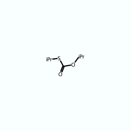 CC(C)OC(=O)SC(C)C